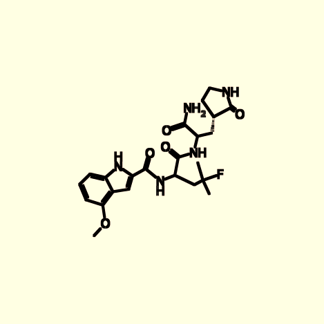 COc1cccc2[nH]c(C(=O)NC(CC(C)(C)F)C(=O)NC(C[C@@H]3CCNC3=O)C(N)=O)cc12